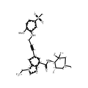 COc1ccc(S(C)(=O)=O)cc1NCC#Cc1cc(C(=O)N[C@@H]2[C@@H](C)CN(C)CC2(F)F)c2ncn(CC(F)(F)F)c2c1